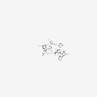 CC(C)(C)CC(C)(C)c1cc(-c2cc(C#N)ccc2OCCCOc2ccc(C#N)cc2-c2cc(C(C)(C)CC(C)(C)C)cc(-n3c4ccc(C(C)(C)C)cc4c4cc(C(C)(C)C)ccc43)c2O)c(O)c(-n2c3ccc(C(C)(C)C)cc3c3cc(C(C)(C)C)ccc32)c1